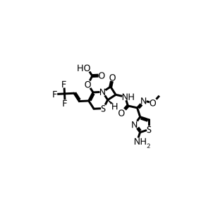 CON=C(C(=O)NC1C(=O)N2C(OC(=O)O)=C(C=CC(F)(F)F)CS[C@@H]12)c1csc(N)n1